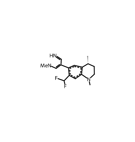 CN/C=C(\C=N)c1cc2c(cc1C(F)F)N(C)CC[C@H]2C